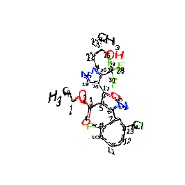 CCOC(=O)c1c(-c2c(F)cccc2Cl)noc1-c1cnn(C[C@H](C)O)c1C(F)(F)F